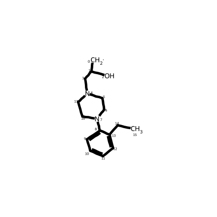 [CH2]C(O)CN1CCN(c2ccccc2CC)CC1